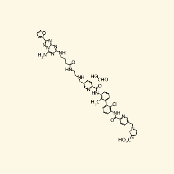 Cc1c(NC(=O)c2ccc(CNCCNC(=O)CCCNc3nc(N)n4nc(-c5ccco5)nc4n3)cn2)cccc1-c1cccc(NC(=O)c2ccc(CN3CC[C@@H](C(=O)O)C3)cn2)c1Cl.O=CO